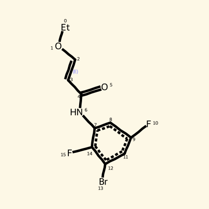 CCO/C=C/C(=O)Nc1cc(F)cc(Br)c1F